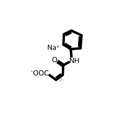 O=C([O-])/C=C\C(=O)Nc1ccccc1.[Na+]